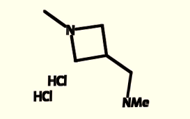 CNCC1CN(C)C1.Cl.Cl